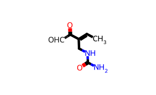 CC=C(CNC(N)=O)C(=O)C=O